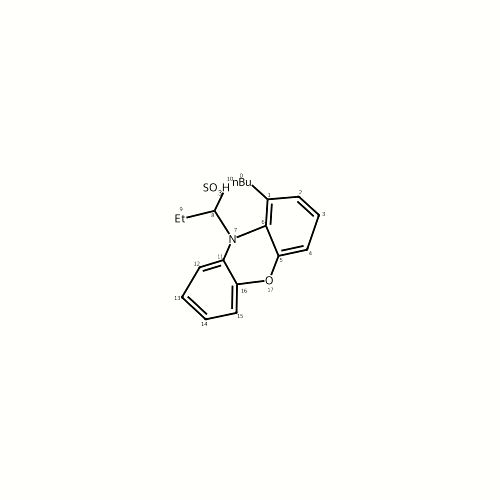 CCCCc1cccc2c1N(C(CC)S(=O)(=O)O)c1ccccc1O2